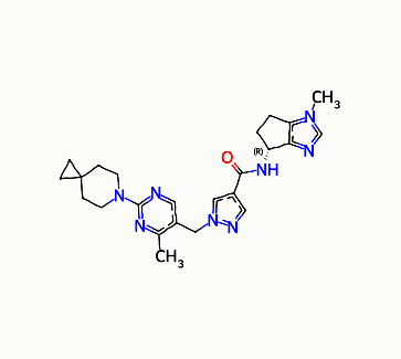 Cc1nc(N2CCC3(CC2)CC3)ncc1Cn1cc(C(=O)N[C@@H]2CCc3c2ncn3C)cn1